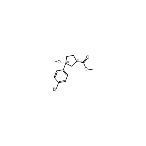 COC(=O)[C@@H]1CC[C@](O)(c2ccc(Br)cc2)C1